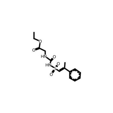 CCOC(=O)CNC(=O)NS(=O)(=O)C=C(C)c1ccccc1